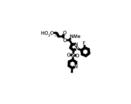 CNC(OC(=O)/C=C/C(=O)O)c1cc(S(=O)(=O)c2ccc(C)nc2)n(-c2ccccc2F)n1